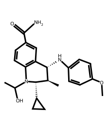 COc1ccc(N[C@H]2c3cc(C(N)=O)ccc3N(C(C)O)[C@@H](C3CC3)[C@@H]2C)cc1